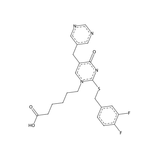 O=C(O)CCCCCn1cc(Cc2cncnc2)c(=O)nc1SCc1ccc(F)c(F)c1